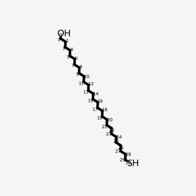 OCCCCCCCCCCCCCCCCCCCCCCCCCCCCCS